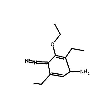 CCOC1=C(CC)C(N)C=C(CC)C1=[N+]=[N-]